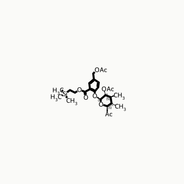 CC(=O)OCc1ccc(O[C@@H]2O[C@H](C(C)=O)[C@@H](C)[C@H](C)[C@H]2OC(C)=O)c(C(=O)OCC[Si](C)(C)C)c1